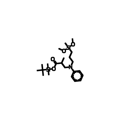 CO[Si](C)(CCCN(CC(C)C(=O)O[Si](C)(C)C(C)(C)C)c1ccccc1)OC